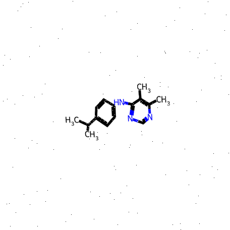 Cc1ncnc(Nc2ccc(C(C)C)cc2)c1C